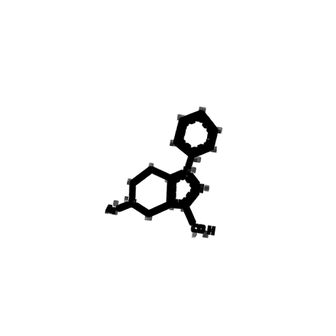 CC(=O)N1CCc2c(c(C(=O)O)nn2-c2ccccc2)C1